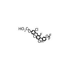 O=C(O)COc1cc(Cl)c(Cc2ccc(O)c(-c3cccc(OC(F)F)c3)c2F)c(Cl)c1